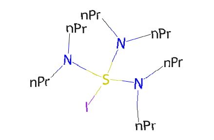 CCCN(CCC)S(I)(N(CCC)CCC)N(CCC)CCC